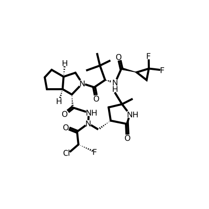 CC1(C)C[C@@H](CN(NC(=O)[C@@H]2[C@H]3CCC[C@H]3CN2C(=O)[C@@H](NC(=O)[C@@H]2CC2(F)F)C(C)(C)C)C(=O)[C@H](F)Cl)C(=O)N1